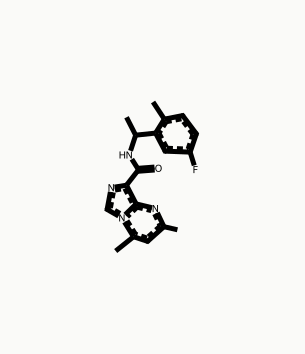 Cc1cc(C)n2cnc(C(=O)NC(C)c3cc(F)ccc3C)c2n1